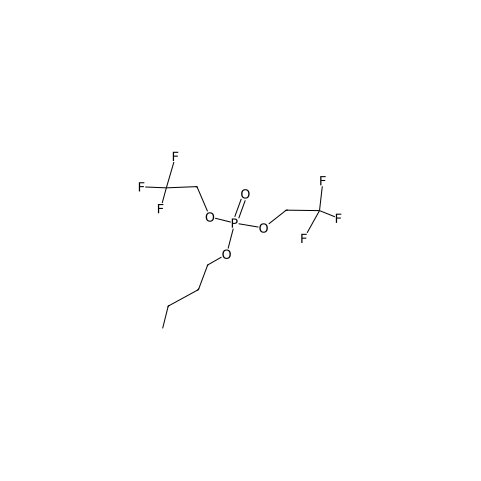 CCCCOP(=O)(OCC(F)(F)F)OCC(F)(F)F